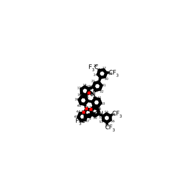 N#Cc1cc(C(F)(F)F)ccc1-c1cccc(-n2c3ccccc3c3cc(-c4cc(C(F)(F)F)cc(C(F)(F)F)c4)ccc32)c1-c1c(C#N)cccc1-n1c2ccccc2c2cc(-c3cc(C(F)(F)F)cc(C(F)(F)F)c3)ccc21